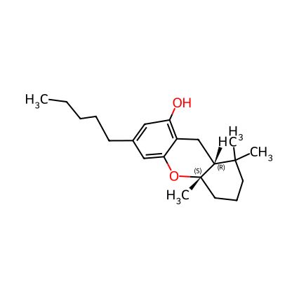 CCCCCc1cc(O)c2c(c1)O[C@@]1(C)CCCC(C)(C)[C@H]1C2